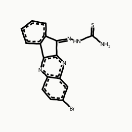 NC(=S)NN=C1c2ccccc2-c2nc3ccc(Br)cc3nc21